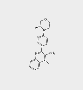 Cc1c(N)c(-c2ccc(N3CCOC[C@@H]3C)nc2)nc2ccccc12